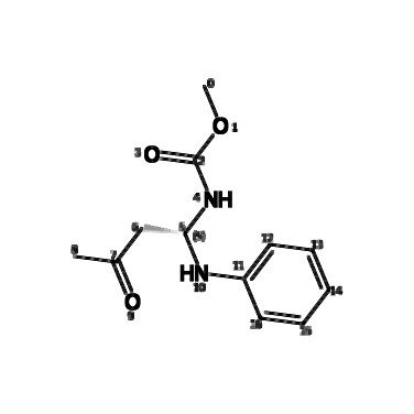 COC(=O)N[C@@H](CC(C)=O)Nc1ccccc1